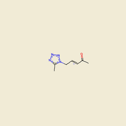 CC(=O)/C=C/Cn1nnnc1C